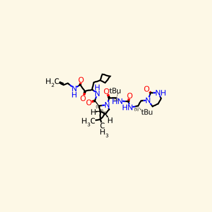 C=CCNC(=O)C(=O)C(CC1CCC1)NC(=O)[C@@H]1[C@@H]2[C@H](CN1C(=O)[C@@H](NC(=O)N[C@H](CN1CCCNC1=O)C(C)(C)C)C(C)(C)C)C2(C)C